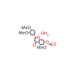 COc1ccc(-c2cc(=O)c3c(OC)cc(OC=C=O)cc3o2)cc1OC.O